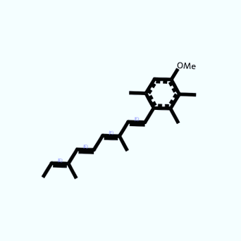 C/C=C(C)/C=C/C=C(C)/C=C/c1c(C)cc(OC)c(C)c1C